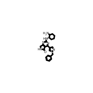 NC1CCCC[C@H]1Nc1nc2c(c(-c3cnn(Cc4ccccc4)c3)n1)C(=O)NC2